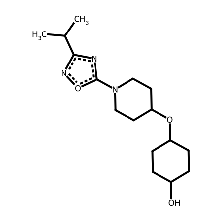 CC(C)c1noc(N2CCC(OC3CCC(O)CC3)CC2)n1